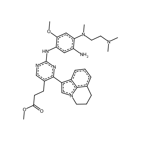 COC(=O)CCc1cnc(Nc2cc(N)c(N(C)CCN(C)C)cc2OC)nc1-c1cn2c3c(cccc13)CCC2